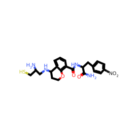 NC(=O)C(Cc1ccc([N+](=O)[O-])cc1)NC(=O)c1cccc2c1OCCC2NCC(N)CS